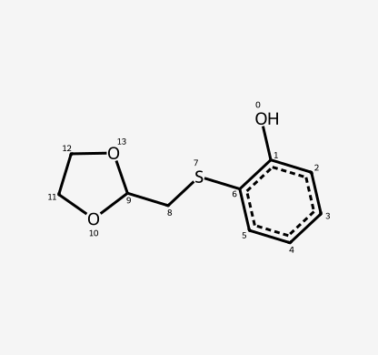 Oc1ccccc1SCC1OCCO1